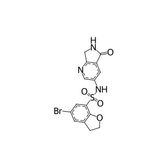 O=C1NCc2ncc(NS(=O)(=O)c3cc(Br)cc4c3OCC4)cc21